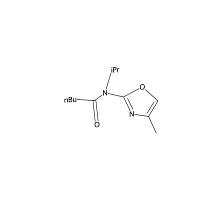 CCCCC(=O)N(c1nc(C)co1)C(C)C